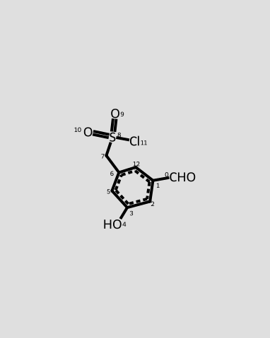 O=Cc1cc(O)cc(CS(=O)(=O)Cl)c1